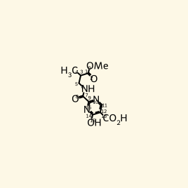 COC(=O)C(C)CNC(=O)c1ncc(C(=O)O)c(O)n1